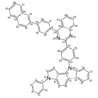 c1ccc(-n2ccc3c2ccc2c4ccccc4n(-c4ccc(-c5nc(-c6ccc(-c7ccc8ccccc8c7)cc6)c6ccccc6n5)cc4)c23)cc1